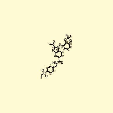 CCS(=O)(=O)c1ccc(CNC(=O)c2ccc3c(c2)nc(C(C)C)n3Cc2cccc3c2OC(F)(F)O3)cc1